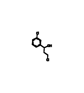 OC(CCCl)c1cccc(Cl)c1